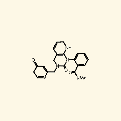 CNC(=O)c1ccccc1N1C(=O)N(CC2=CC(=O)CC=N2)CC2=C1NCC=C2